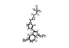 CCCn1cc(-c2cnn(COCC[Si](C)(C)C)c2)c2cc(Br)ncc21